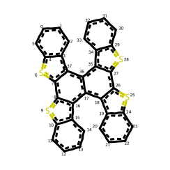 c1ccc2c(c1)sc1c3sc4ccccc4c3c3c4c5ccccc5sc4c4sc5ccccc5c4c3c21